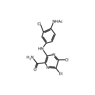 CCc1nc(C(N)=O)c(Nc2ccc(NC(C)=O)c(Cl)c2)nc1Cl